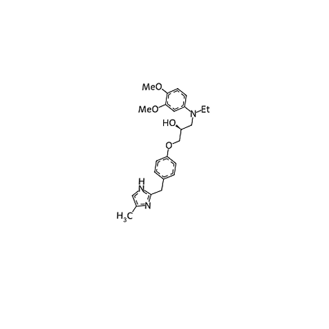 CCN(C[C@H](O)COc1ccc(Cc2nc(C)c[nH]2)cc1)c1ccc(OC)c(OC)c1